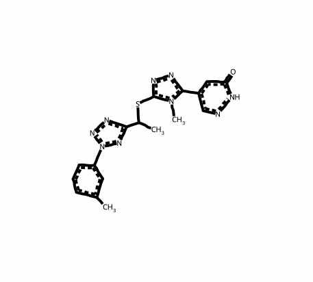 Cc1cccc(-n2nnc(C(C)Sc3nnc(-c4cn[nH]c(=O)c4)n3C)n2)c1